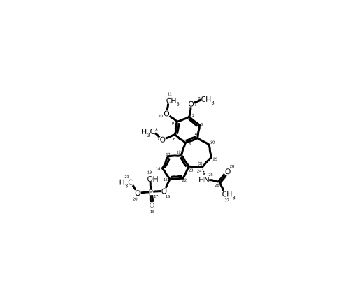 COc1cc2c(c(OC)c1OC)-c1ccc(OP(=O)(O)OC)cc1[C@@H](NC(C)=O)CC2